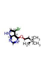 C[Si](C)(C)CCOc1ncnc2[nH]cc(Br)c12